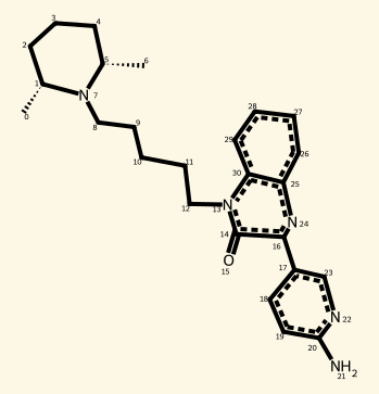 C[C@@H]1CCC[C@H](C)N1CCCCCn1c(=O)c(-c2ccc(N)nc2)nc2ccccc21